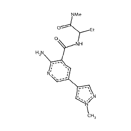 CCC(NC(=O)c1cc(-c2cnn(C)c2)cnc1N)C(=O)NC